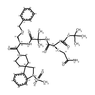 CC(C)(C)OC(=O)N[C@@H](CCC(N)=O)C(=O)NC(C)(C)C(=O)N[C@H](COCc1ccccc1)C(=O)N1CCC2(CC1)CN(S(C)(=O)=O)c1ccccc12